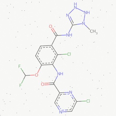 CN1NNN=C1NC(=O)c1ccc(OC(F)F)c(NC(=O)c2cncc(Cl)n2)c1Cl